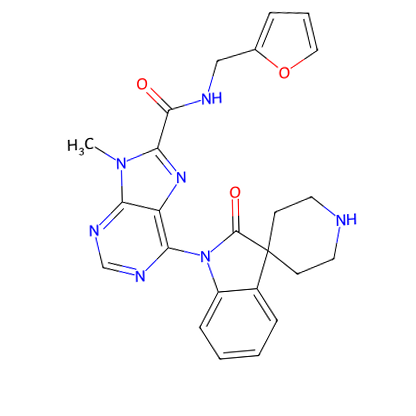 Cn1c(C(=O)NCc2ccco2)nc2c(N3C(=O)C4(CCNCC4)c4ccccc43)ncnc21